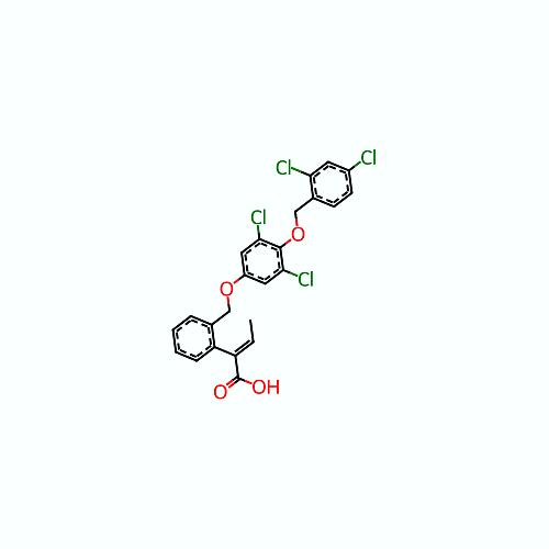 C/C=C(/C(=O)O)c1ccccc1COc1cc(Cl)c(OCc2ccc(Cl)cc2Cl)c(Cl)c1